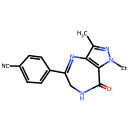 CCn1nc(C)c2c1C(=O)NCC(c1ccc(C#N)cc1)=N2